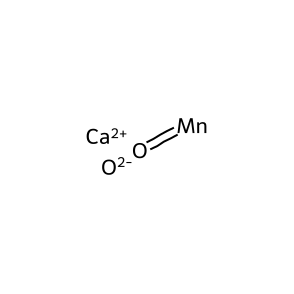 [Ca+2].[O-2].[O]=[Mn]